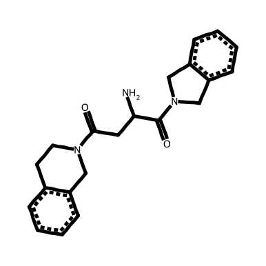 NC(CC(=O)N1CCc2ccccc2C1)C(=O)N1Cc2ccccc2C1